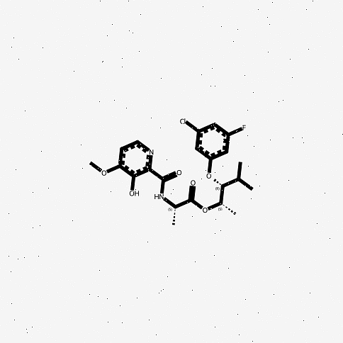 COc1ccnc(C(=O)N[C@@H](C)C(=O)O[C@@H](C)[C@H](Oc2cc(F)cc(Cl)c2)C(C)C)c1O